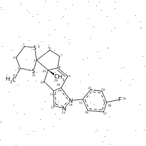 CC1CCSC2(CCC3=Cc4c(cnn4-c4ccc(F)cc4)C[C@@]32C)S1